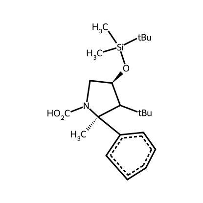 CC(C)(C)C1[C@H](O[Si](C)(C)C(C)(C)C)CN(C(=O)O)[C@]1(C)c1ccccc1